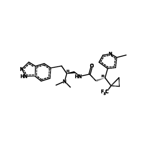 Cc1cc([C@@H](CC(=O)NC[C@H](Cc2ccc3[nH]ncc3c2)N(C)C)C2(C(F)(F)F)CC2)ccn1